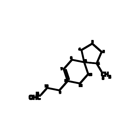 CC1CCCC12CC=C(CCC=O)CC2